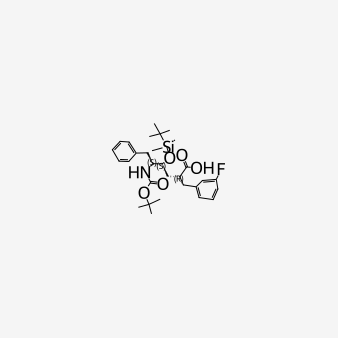 CC(C)(C)OC(=O)N[C@@H](Cc1ccccc1)[C@H](C[C@@H](Cc1cccc(F)c1)C(=O)O)O[Si](C)(C)C(C)(C)C